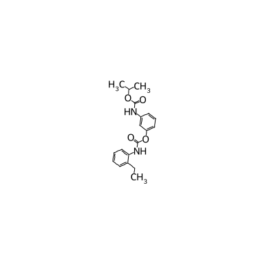 CCc1ccccc1NC(=O)Oc1cccc(NC(=O)OC(C)C)c1